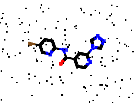 O=C(Nc1ccc(Br)cn1)c1ccnc(-n2cnnc2)c1